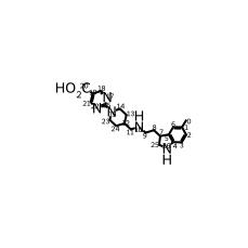 Cc1ccc2c(c1)C(CCNCC1CCN(c3ncc(C(=O)O)cn3)CC1)CN2